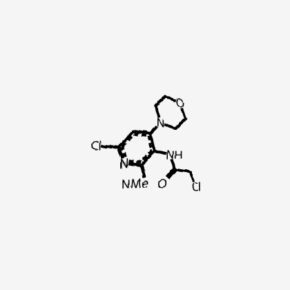 CNc1nc(Cl)cc(N2CCOCC2)c1NC(=O)CCl